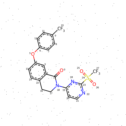 O=C1c2cc(Oc3ccc(C(F)(F)F)cc3)ccc2CCN1c1ccnc(S(=O)(=O)C(F)(F)F)n1